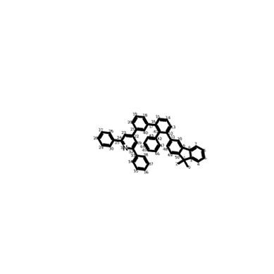 CC1(C)c2ccccc2-c2cc(-c3cccc(-c4cccc(-c5cc(-c6ccccc6)nc(-c6ccccc6)c5)c4)c3-c3ccccc3)ccc21